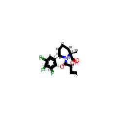 C=CCC(=O)N1[C@H](c2cc(F)c(F)c(F)c2)CCC[C@]1(C)C(=O)O